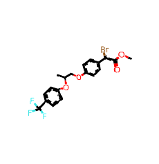 COC(=O)C(Br)c1ccc(OCC(C)Oc2ccc(C(F)(F)F)cc2)cc1